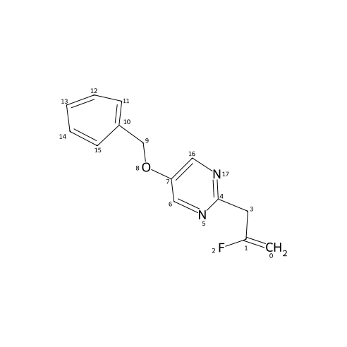 C=C(F)Cc1ncc(OCc2ccccc2)cn1